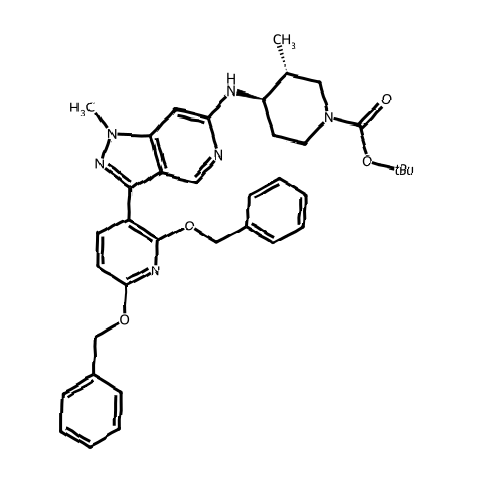 C[C@@H]1CN(C(=O)OC(C)(C)C)CC[C@H]1Nc1cc2c(cn1)c(-c1ccc(OCc3ccccc3)nc1OCc1ccccc1)nn2C